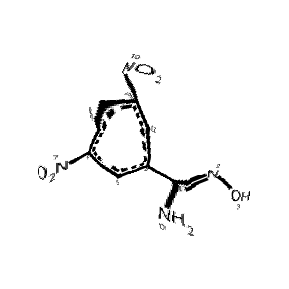 NC(=NO)c1cc([N+](=O)[O-])cc([N+](=O)[O-])c1